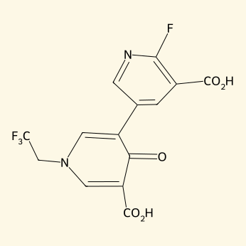 O=C(O)c1cc(-c2cn(CC(F)(F)F)cc(C(=O)O)c2=O)cnc1F